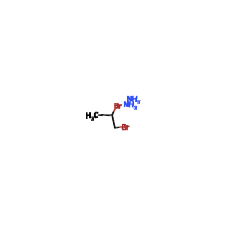 CC(Br)CBr.N.N